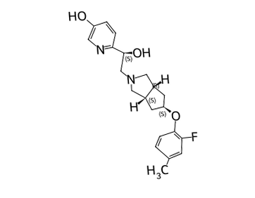 Cc1ccc(O[C@H]2C[C@@H]3CN(C[C@H](O)c4ccc(O)cn4)C[C@@H]3C2)c(F)c1